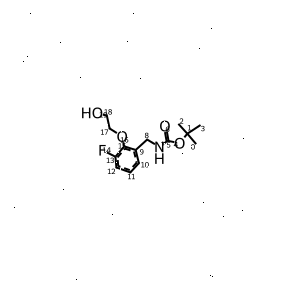 CC(C)(C)OC(=O)NCc1cccc(F)c1OCCO